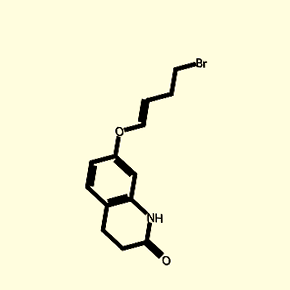 O=C1CCc2ccc(OC=CCCBr)cc2N1